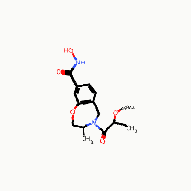 CCCCOC(C)C(=O)N1Cc2ccc(C(=O)NO)cc2OC[C@@H]1C